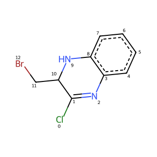 ClC1=Nc2ccccc2NC1CBr